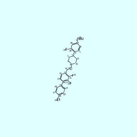 CCCCc1ccc(C2CCC(OCc3ccc(-c4ccc(CC)cc4)c(F)c3F)CC2)c(F)c1